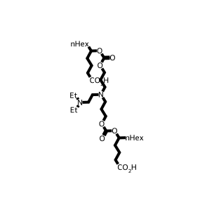 CCCCCCC(CCCC(=O)O)OC(=O)OCCCN(CCCOC(=O)OC(CCCCCC)CCCC(=O)O)CCN(CC)CC